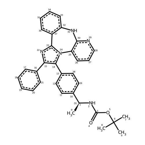 C[C@H](NC(=O)OC(C)(C)C)c1ccc(-c2c(-c3ccccc3)nc3n2-c2cccnc2Nc2ccccc2-3)cc1